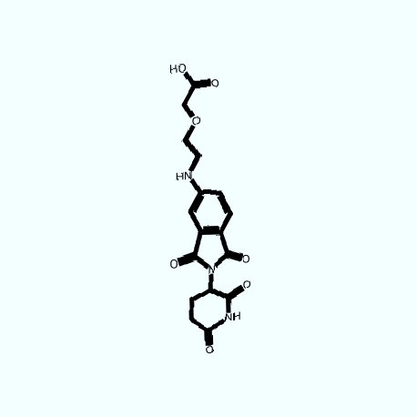 O=C(O)COCCNc1ccc2c(c1)C(=O)N(C1CCC(=O)NC1=O)C2=O